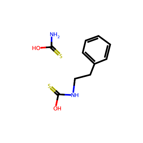 NC(O)=S.OC(=S)NCCc1ccccc1